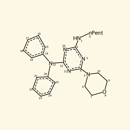 CCCCCNc1nc(N2CCOCC2)nc(N(c2ccccc2)c2ccccc2)n1